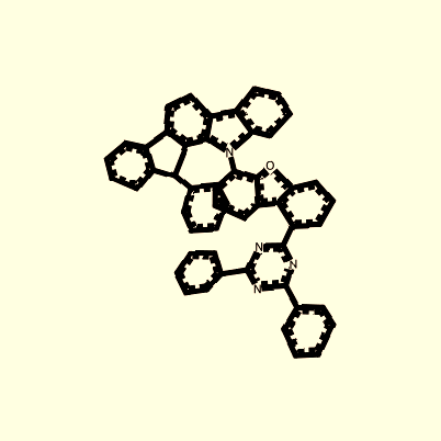 c1ccc(-c2nc(-c3ccccc3)nc(-c3cccc4oc5c(-n6c7ccccc7c7ccc8c(c76)C(c6ccccc6)c6ccccc6-8)cccc5c34)n2)cc1